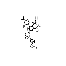 Cc1nc2c(-c3ccc(Cl)cc3F)nc(N3CCO[C@@H](c4cnn(C)c4)C3)cc2c(=O)n1C